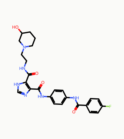 O=C(Nc1ccc(NC(=O)c2nc[nH]c2C(=O)NCCN2CCCC(O)C2)cc1)c1ccc(F)cc1